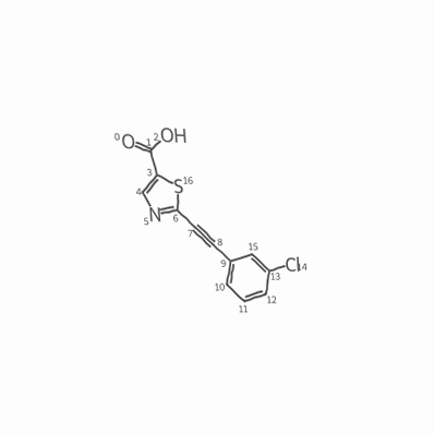 O=C(O)c1cnc(C#Cc2cccc(Cl)c2)s1